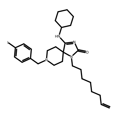 C=CCCCCCCN1C(=O)N=C(NC2CCCCC2)C12CCN(Cc1ccc(I)cc1)CC2